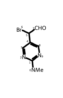 CNc1ncc(C(Br)C=O)cn1